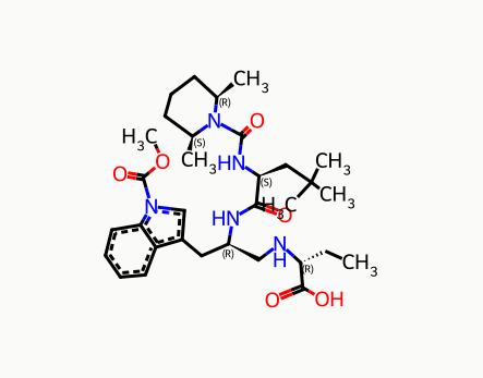 CC[C@@H](NC[C@@H](Cc1cn(C(=O)OC)c2ccccc12)NC(=O)[C@H](CC(C)(C)C)NC(=O)N1[C@H](C)CCC[C@@H]1C)C(=O)O